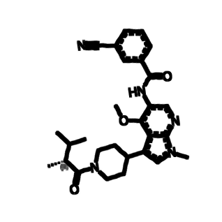 COc1c(NC(=O)c2cccc(C#N)c2)cnc2c1c(C1CCN(C(=O)[C@H](C)C(C)C)CC1)cn2C